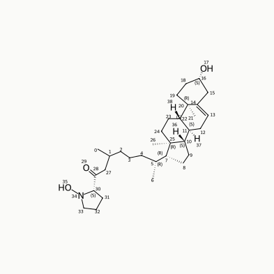 CC(CCC[C@@H](C)[C@H]1CC[C@H]2[C@@H]3CC=C4C[C@@H](O)CC[C@]4(C)[C@H]3CC[C@]12C)CC(=O)[C@@H]1CCCN1O